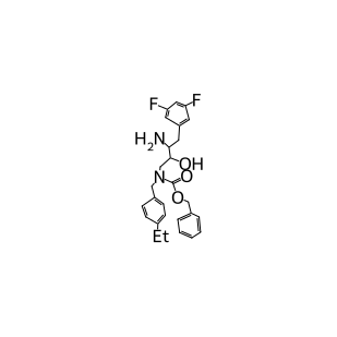 CCc1ccc(CN(CC(O)C(N)Cc2cc(F)cc(F)c2)C(=O)OCc2ccccc2)cc1